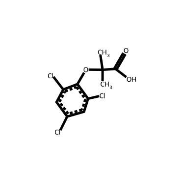 CC(C)(Oc1c(Cl)cc(Cl)cc1Cl)C(=O)O